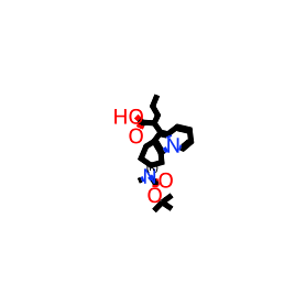 CCCC(C(=O)O)c1c2c(n3ccccc13)C[C@H](N(C)C(=O)OC(C)(C)C)CC2